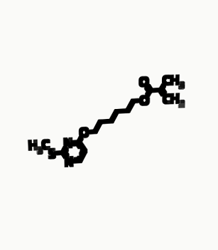 C=C(C)C(=O)OCCCCCCOc1ccnc(SC)n1